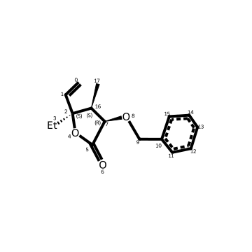 C=C[C@]1(CC)OC(=O)[C@H](OCc2ccccc2)[C@@H]1C